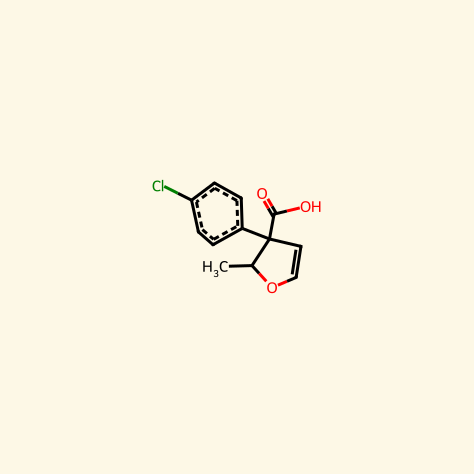 CC1OC=CC1(C(=O)O)c1ccc(Cl)cc1